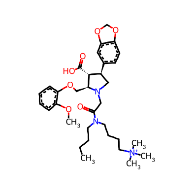 CCCCN(CCCC[N+](C)(C)C)C(=O)CN1C[C@H](c2ccc3c(c2)OCO3)[C@@H](C(=O)O)[C@@H]1COc1ccccc1OC